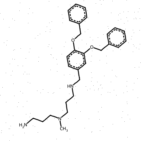 CN(CCCN)CCCNCc1ccc(OCc2ccccc2)c(OCc2ccccc2)c1